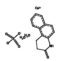 O.O.O=C1CCc2c(ccc3ccccc23)N1.O=S(=O)([O-])[O-].[Ca+2]